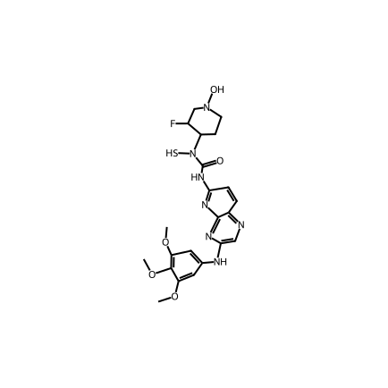 COc1cc(Nc2cnc3ccc(NC(=O)N(S)C4CCN(O)CC4F)nc3n2)cc(OC)c1OC